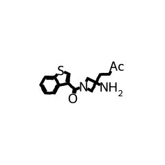 CC(=O)CCC1(N)CN(C(=O)c2csc3ccccc23)C1